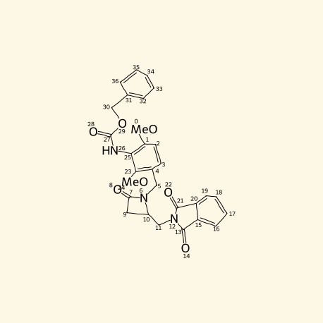 COc1ccc(CN2C(=O)CC2CN2C(=O)c3ccccc3C2=O)c(OC)c1NC(=O)OCc1ccccc1